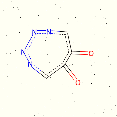 O=c1cnnnncc1=O